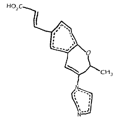 CC1Oc2ccc(C=CC(=O)O)cc2C=C1n1ccnc1